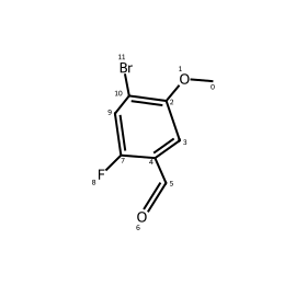 COc1cc(C=O)c(F)cc1Br